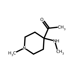 CNC1(C(C)=O)CCN(C)CC1